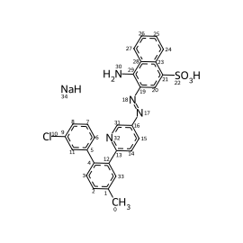 Cc1ccc(-c2cccc(Cl)c2)c(-c2ccc(/N=N/c3cc(S(=O)(=O)O)c4ccccc4c3N)cn2)c1.[NaH]